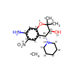 C.CC1(C)Oc2cc(N)c([N+](=O)[O-])cc2[C@@H](N2CCCCC2)[C@@H]1O